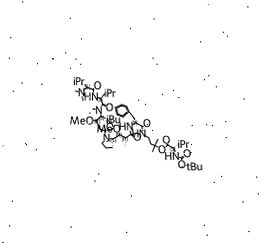 CC[C@H](C)[C@@H]([C@@H](CC(=O)N1CCC[C@H]1[C@H](OC)[C@@H](C)C(=O)N[C@@H](Cc1ccccc1)C(=O)NCCC(C)(C)OC(=O)[C@@H](NC(=O)OC(C)(C)C)C(C)C)OC)N(C)C(=O)[C@@H](NC(=O)[C@H](C(C)C)N(C)C)C(C)C